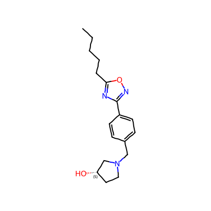 CCCCCc1nc(-c2ccc(CN3CC[C@H](O)C3)cc2)no1